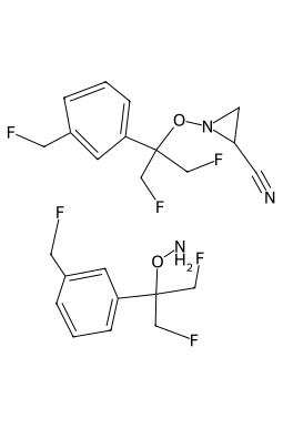 N#CC1CN1OC(CF)(CF)c1cccc(CF)c1.NOC(CF)(CF)c1cccc(CF)c1